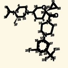 CC(C)N1CCN([C@@H]2CC[C@@](C(=O)N3CCN(c4cc(F)cc(C(F)(F)F)c4)CC3)(C3CC3)OC2)C[C@@H]1C